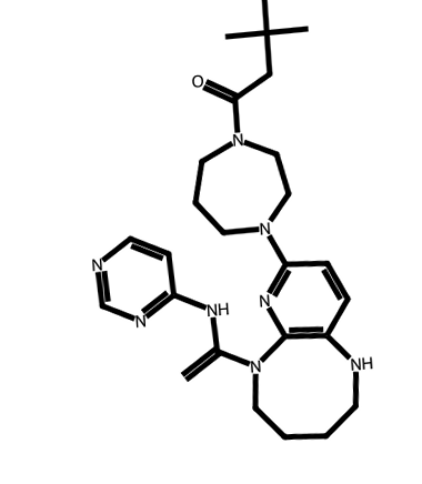 C=C(Nc1ccncn1)N1CCCCNc2ccc(N3CCCN(C(=O)CC(C)(C)C)CC3)nc21